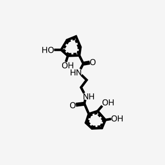 O=C(NCCNC(=O)c1cccc(O)c1O)c1cccc(O)c1O